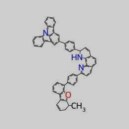 CC1CC=Cc2c1oc1c(-c3ccc(-c4ccc5ccc6c(c5n4)NC(c4ccc(-c5cc7c8ccccc8n8c9ccccc9c(c5)c78)cc4)C=C6)cc3)cccc21